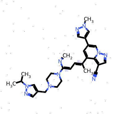 C=N/C(=C\C=C(/C)c1cc(-c2cnn(C)c2)cn2ncc(C#N)c12)N1CCN(Cc2cnn(C(C)C)c2)CC1